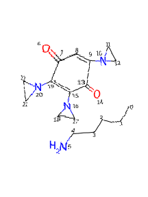 CCCCCN.O=C1C=C(N2CC2)C(=O)C(N2CC2)=C1N1CC1